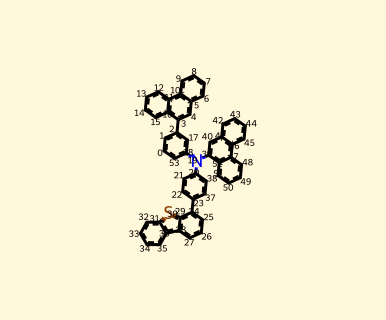 c1cc(-c2cc3ccccc3c3ccccc23)cc(N(c2ccc(-c3cccc4c3sc3ccccc34)cc2)c2cc3ccccc3c3ccccc23)c1